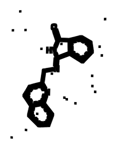 O=C1NC(=NCc2ccc3ccccc3n2)c2ccccc21